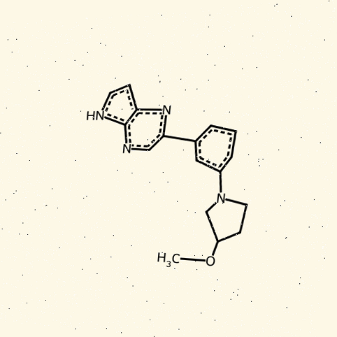 COC1CCN(c2cccc(-c3cnc4[nH]ccc4n3)c2)C1